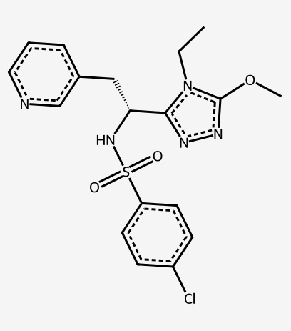 CCn1c(OC)nnc1[C@@H](Cc1cccnc1)NS(=O)(=O)c1ccc(Cl)cc1